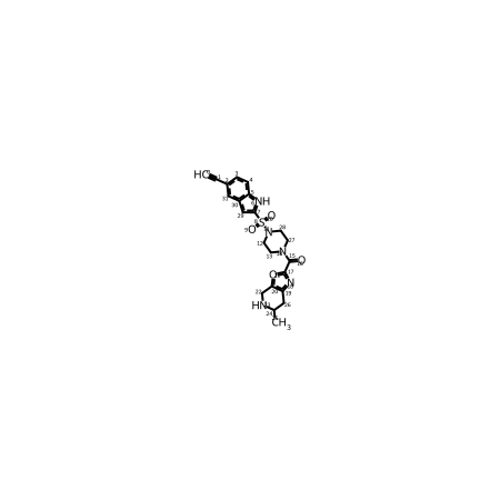 C#Cc1ccc2[nH]c(S(=O)(=O)N3CCN(C(=O)c4nc5c(o4)CNC(C)C5)CC3)cc2c1